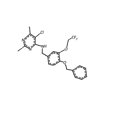 Cc1nc(C)c(Cl)c(NCc2ccc(OCc3ccccc3)c(OCC(F)(F)F)c2)n1